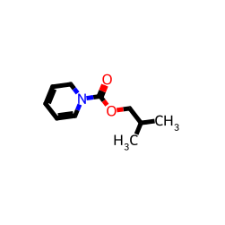 CC(C)COC(=O)N1C=CC=CC1